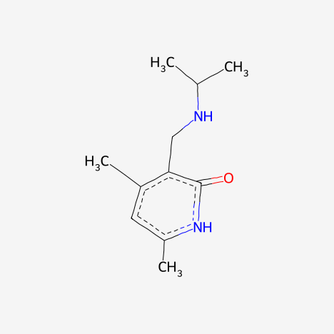 Cc1cc(C)c(CNC(C)C)c(=O)[nH]1